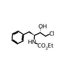 CCOC(=O)N[C@@H](Cc1ccccc1)[C@H](O)CCl